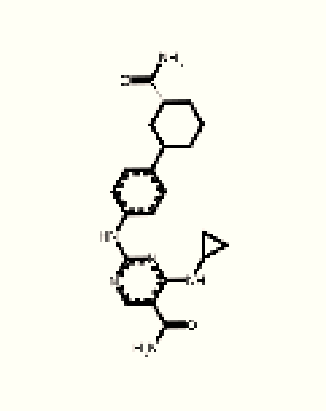 NC(=O)c1cnc(Nc2ccc(C3CCC[C@@H](C(N)=O)C3)cc2)nc1NC1CC1